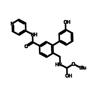 CC(C)(C)OC(O)NCc1ccc(C(=O)Nc2ccncc2)cc1-c1cccc(O)c1